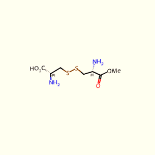 COC(=O)[C@@H](N)CSSC[C@H](N)C(=O)O